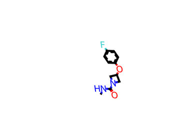 CNC(=O)N1CC(Oc2ccc(F)cc2)C1